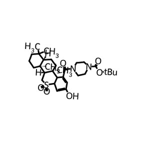 CC(C)(C)OC(=O)N1CCN(C(=O)C2=CC(O)=CC3C2[C@]2(C)CC[C@H]4C(C)(C)CCC[C@]4(C)[C@H]2CS3(=O)=O)CC1